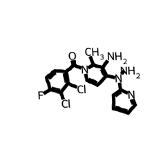 CC1C(N)=C(N(N)c2ccccn2)C=CN1C(=O)c1ccc(F)c(Cl)c1Cl